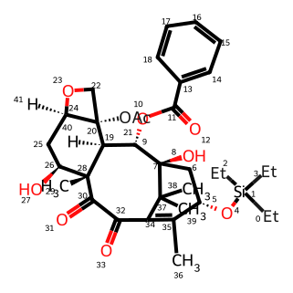 CC[Si](CC)(CC)O[C@H]1C[C@@]2(O)[C@@H](OC(=O)c3ccccc3)[C@@H]3[C@]4(OC(C)=O)CO[C@@H]4C[C@H](O)[C@@]3(C)C(=O)C(=O)C(=C1C)C2(C)C